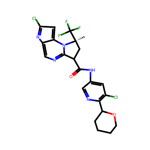 C[C@]1(C(F)(F)F)CC(C(=O)Nc2cnc(C3CCCCO3)c(Cl)c2)c2ncc3nc(Cl)cc-3n21